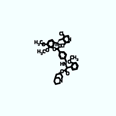 COc1ccc([C@H](Cc2c(Cl)cncc2Cl)OC(=O)c2ccc(CNC(C(=O)O[C@@H]3CC4CCCN(C4)C3)c3ccccc3OC)cc2)cc1OC